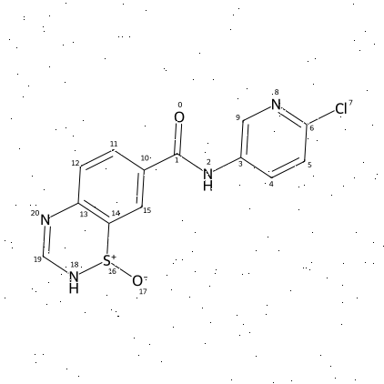 O=C(Nc1ccc(Cl)nc1)c1ccc2c(c1)[S+]([O-])NC=N2